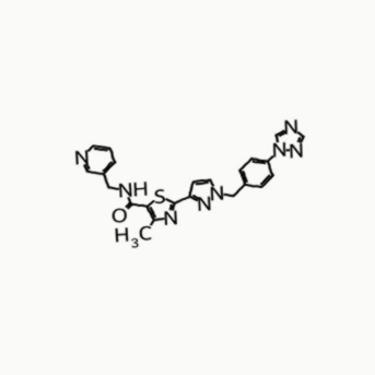 Cc1nc(-c2ccn(Cc3ccc(-n4cncn4)cc3)n2)sc1C(=O)NCc1cccnc1